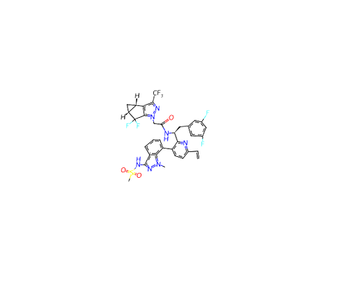 C=Cc1ccc(-c2cccc3c(NS(C)(=O)=O)nn(C)c23)c([C@H](Cc2cc(F)cc(F)c2)NC(=O)Cn2nc(C(F)(F)F)c3c2C(F)(F)[C@@H]2C[C@H]32)n1